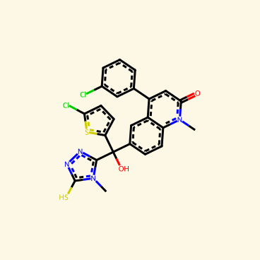 Cn1c(S)nnc1C(O)(c1ccc2c(c1)c(-c1cccc(Cl)c1)cc(=O)n2C)c1ccc(Cl)s1